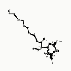 [CH2]CCCCCCCCCC(N)N(C=O)c1cc(=O)[nH]c(=O)[nH]1